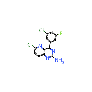 Nc1nc(-c2cc(F)cc(Cl)c2)c2nc(Cl)ccc2n1